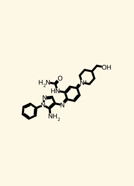 NC(=O)NC1=CC(=[N+]2CCC(CO)CC2)C=C/C1=N/c1cnn(-c2ccccc2)c1N